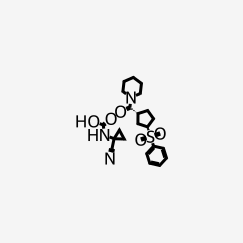 N#CC1(NC(=O)O)CC1.O=C([C@@H]1CC[C@@H](S(=O)(=O)c2ccccc2)C1)N1CCCCC1